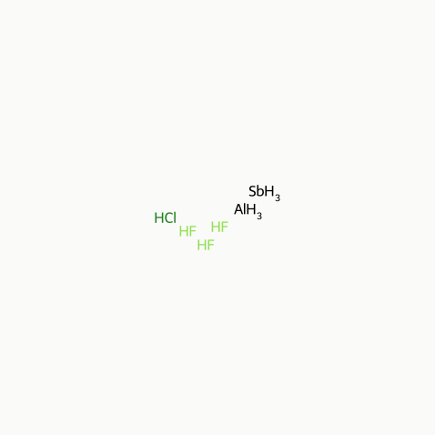 Cl.F.F.F.[AlH3].[SbH3]